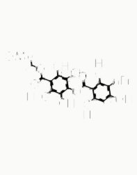 CCCc1c(O)cc(C)c(C(=O)Oc2c(C)c(C)c(C(=O)OCOC)c(C)c2C)c1C